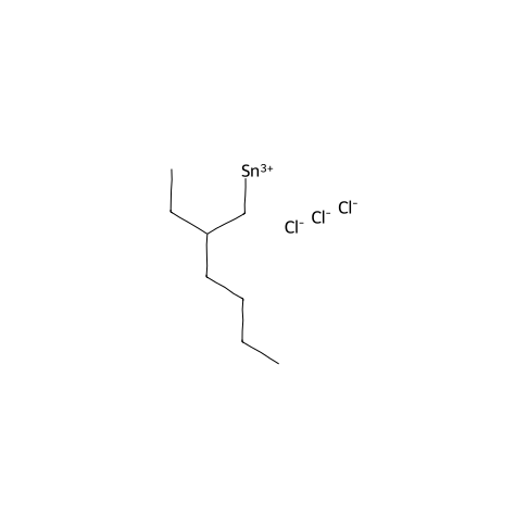 CCCCC(CC)[CH2][Sn+3].[Cl-].[Cl-].[Cl-]